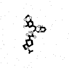 CC(C)n1ccc2cc(C(=O)C(=O)N[C@H](CN3CCCC3)[C@@H](O)c3cc(F)c4c(c3)OCCO4)ccc21